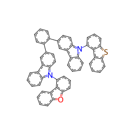 c1ccc(-c2ccc3c(c2)c2ccccc2n3-c2cccc3sc4ccccc4c23)c(-c2ccc3c(c2)c2ccccc2n3-c2cccc3oc4ccccc4c23)c1